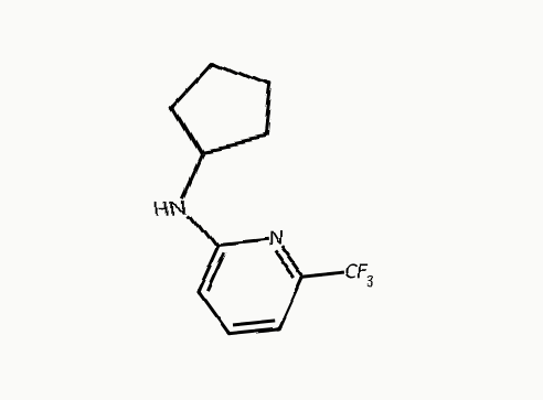 FC(F)(F)c1cccc(NC2CCCC2)n1